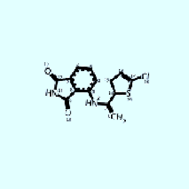 C=C(Nc1cccc2c1C(=O)NC2=O)C1CC=C(Cl)S1